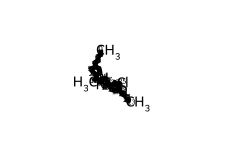 CCCCCC1CCC(C(C)c2ncc(-c3ccc(OCCCC)c(Cl)c3)cn2)CC1